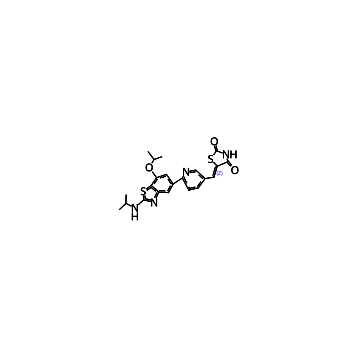 CC(C)Nc1nc2cc(-c3ccc(/C=C4\SC(=O)NC4=O)cn3)cc(OC(C)C)c2s1